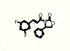 O=C(/C=C/c1cc(F)cc(F)c1)N1C(=O)OCC1c1ccccc1